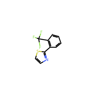 FC(F)(F)c1[c]cccc1-c1nccs1